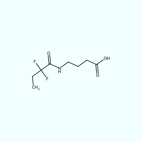 CCC(F)(F)C(=O)NCCCC(=O)O